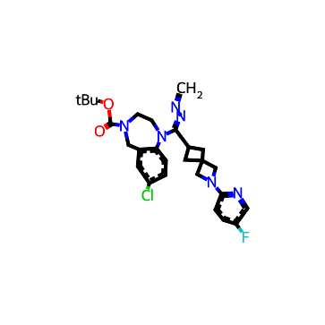 C=N/N=C(/C1CC2(C1)CN(c1ccc(F)cn1)C2)N1CCN(C(=O)OC(C)(C)C)Cc2cc(Cl)ccc21